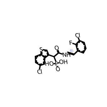 O=C(N/C=C/c1cccc(Cl)c1F)C(c1csc2ccc(Cl)cc12)P(=O)(O)O